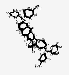 CC(C)c1ccc(N(c2ccc3c(c2)C(C)(C)c2cc4cc5ccc(N(c6ccc(C(C)C)cc6)c6cnccn6)cc5cc4cc2-3)c2cnccn2)cc1